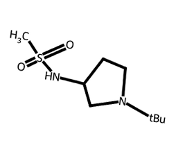 CC(C)(C)N1CCC(NS(C)(=O)=O)C1